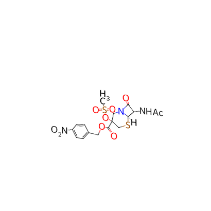 CC(=O)NC1C(=O)N2CC(OS(C)(=O)=O)(C(=O)OCc3ccc([N+](=O)[O-])cc3)CS[C@H]12